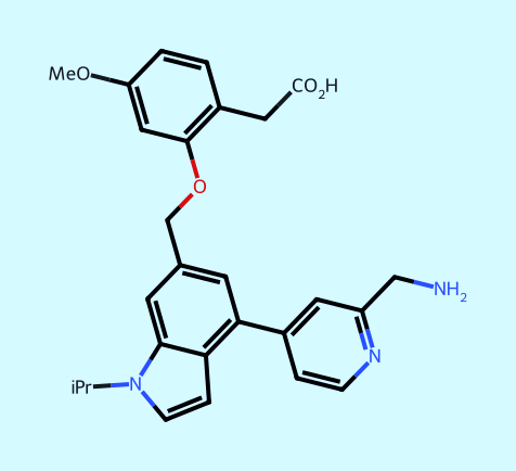 COc1ccc(CC(=O)O)c(OCc2cc(-c3ccnc(CN)c3)c3ccn(C(C)C)c3c2)c1